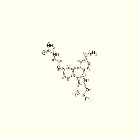 COc1ccc(-n2nc(OC(C)C)cc2-c2ccc(OCCNC(N)=O)cc2)cc1